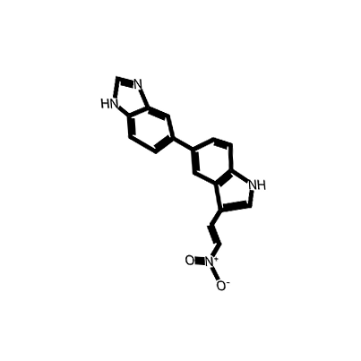 O=[N+]([O-])/C=C/c1c[nH]c2ccc(-c3ccc4[nH]cnc4c3)cc12